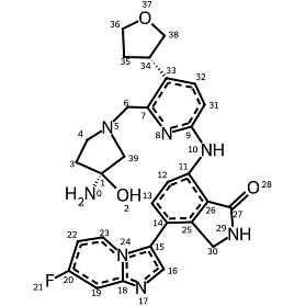 N[C@]1(O)CCN(Cc2nc(Nc3ccc(-c4cnc5cc(F)ccn45)c4c3C(=O)NC4)ccc2[C@@H]2CCOC2)C1